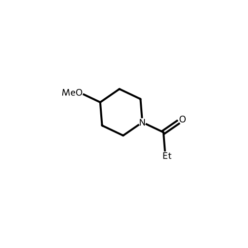 CCC(=O)N1CCC(OC)CC1